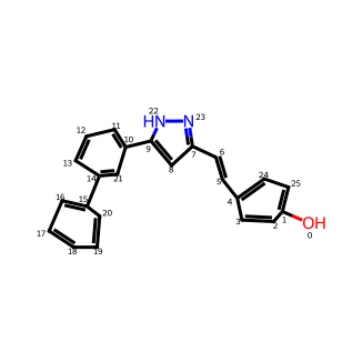 Oc1ccc(C=Cc2cc(-c3cccc(-c4ccccc4)c3)[nH]n2)cc1